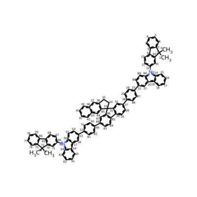 CC1(C)c2ccccc2-c2ccc(-n3c4ccccc4c4cc(-c5ccc(-c6ccc7c(c6)C6(CCc8cc9ccccc9cc86)c6cc(-c8ccc(-c9ccc%10c(c9)c9ccccc9n%10-c9ccc%10c(c9)C(C)(C)c9ccccc9-%10)cc8)ccc6-7)cc5)ccc43)cc21